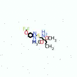 C=C/C=C(OC)\C(OC)=C(/N)CSc1nc2cc(OC(F)F)ccc2[nH]1